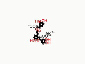 O=C(/C=C/c1ccc(O)c2c1C(C(=O)[O-])C(c1ccc(O)c(O)c1)O2)OC(Cc1ccc(O)c(O)c1)C(=O)[O-].[Mg+2]